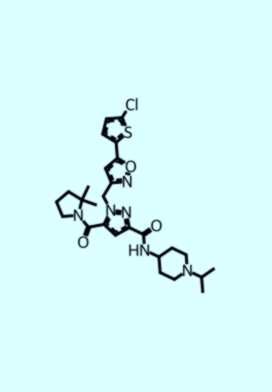 CC(C)N1CCC(NC(=O)c2cc(C(=O)N3CCCC3(C)C)n(Cc3cc(-c4ccc(Cl)s4)on3)n2)CC1